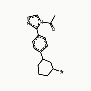 CC(=O)n1ccnc1-c1ccc(C2CCCC(Br)C2)cc1